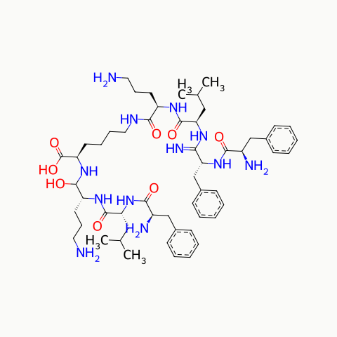 CC(C)C[C@@H](NC(=N)[C@@H](Cc1ccccc1)NC(=O)[C@H](N)Cc1ccccc1)C(=O)N[C@H](CCCN)C(=O)NCCCC[C@@H](NC(O)[C@@H](CCCN)NC(=O)[C@@H](CC(C)C)NC(=O)[C@H](N)Cc1ccccc1)C(=O)O